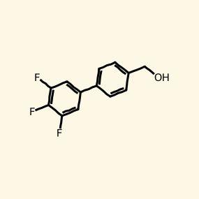 OCc1ccc(-c2cc(F)c(F)c(F)c2)cc1